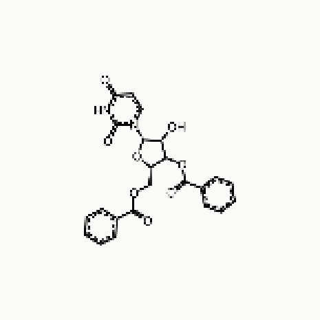 O=C(OC[C@H]1O[C@@H](n2ccc(=O)[nH]c2=O)C(O)C1OC(=O)c1ccccc1)c1ccccc1